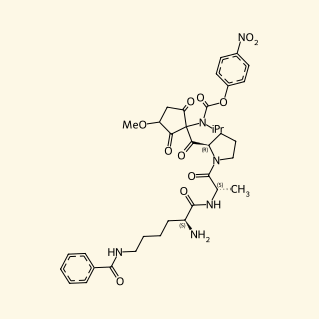 COC1CC(=O)C(C(=O)[C@H]2CCCN2C(=O)[C@H](C)NC(=O)[C@@H](N)CCCCNC(=O)c2ccccc2)(N(C(=O)Oc2ccc([N+](=O)[O-])cc2)C(C)C)C1=O